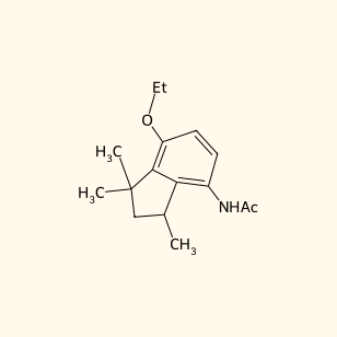 CCOc1ccc(NC(C)=O)c2c1C(C)(C)CC2C